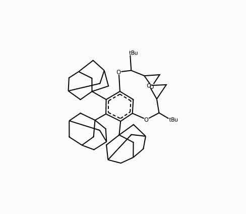 CC(C)(C)C(Oc1cc(OC(C2CO2)C(C)(C)C)c(C23CC4CC(CC(C4)C2)C3)c(C23CC4CC(CC(C4)C2)C3)c1C12CC3CC(CC(C3)C1)C2)C1CO1